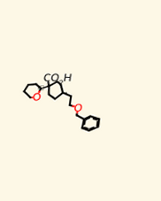 O=C(O)C1([C@@H]2CCCCO2)CC[C](CCOCc2ccccc2)CC1